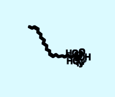 CC/C=C\CCCCCCCC/C=C\CCCCCCCC(O)(C[N+](C)(C)C)P(=O)(O)O